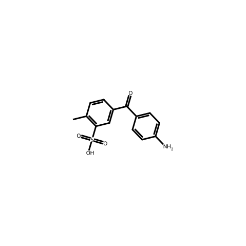 Cc1ccc(C(=O)c2ccc(N)cc2)cc1S(=O)(=O)O